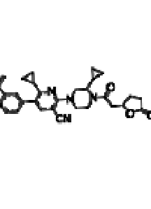 C=Cc1cc(-c2cc(C#N)c(N3CCN(C(=O)C[C@H]4CCC(=O)O4)C(C4CC4)C3)nc2C2CC2)ccn1